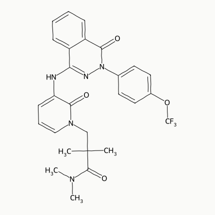 CN(C)C(=O)C(C)(C)Cn1cccc(Nc2nn(-c3ccc(OC(F)(F)F)cc3)c(=O)c3ccccc23)c1=O